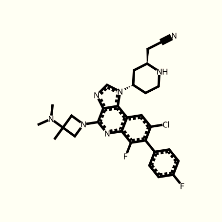 CN(C)C1(C)CN(c2nc3c(F)c(-c4ccc(F)cc4)c(Cl)cc3c3c2ncn3[C@H]2CCN[C@H](CC#N)C2)C1